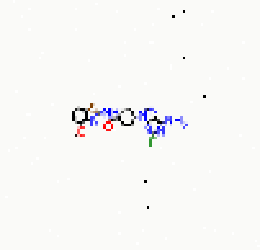 COc1cccc2sc(NC(=O)C3CCC(n4cnc5c(N)nc(F)nc54)CC3)nc12